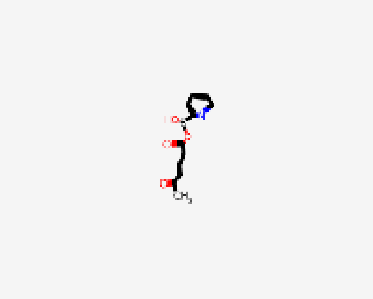 CC(=O)CCCC(=O)OB(O)c1ccccn1